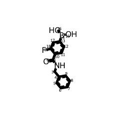 O=C(NCc1ccccc1)c1ccc(B(O)O)cc1F